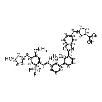 COc1cc(/C=C/c2cccc(-c3cccc(-c4nc5cc(CN6CC[C@@H](C(=O)O)C6)ccc5o4)c3C)c2C)c(C(F)(F)F)cc1CN1CC[C@H](O)C1